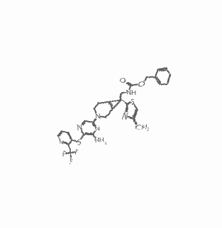 Cc1csc(C2(CNC(=O)OCc3ccccc3)C3CCN(c4cnc(Sc5cccnc5C(F)(F)F)c(N)n4)CC32)n1